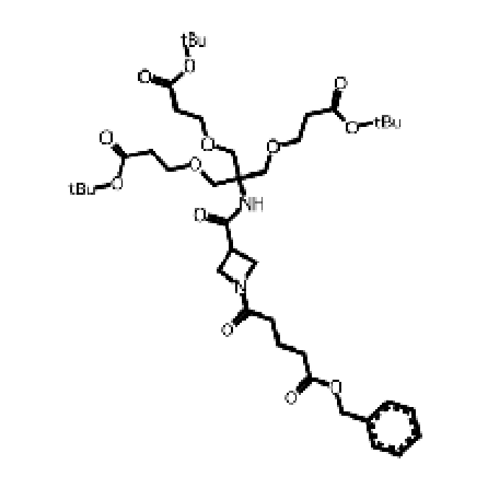 CC(C)(C)OC(=O)CCOCC(COCCC(=O)OC(C)(C)C)(COCCC(=O)OC(C)(C)C)NC(=O)C1CN(C(=O)CCCC(=O)OCc2ccccc2)C1